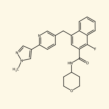 Cn1cc(-c2ccc(Cc3cc(C(=O)NC4CCOCC4)c(F)c4ccccc34)cn2)cn1